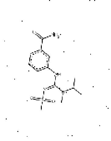 CC(C)N(C)C(=NS(C)(=O)=O)Nc1cccc(C(N)=O)c1